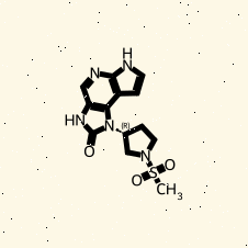 CS(=O)(=O)N1CC[C@@H](n2c(=O)[nH]c3cnc4[nH]ccc4c32)C1